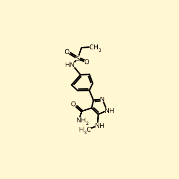 CCS(=O)(=O)Nc1ccc(-c2n[nH]c(NC)c2C(N)=O)cc1